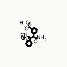 COC(=O)c1cccc(C(C(N)=O)c2cn(OC)c3ccccc23)c1